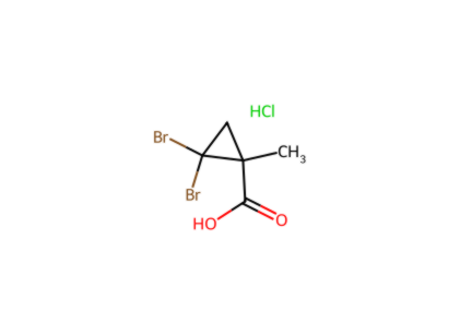 CC1(C(=O)O)CC1(Br)Br.Cl